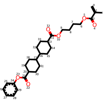 C=C(C)C(=O)OCCCCOC(=O)C1CCC(C2CCC(C(=O)Oc3ccccc3)CC2)CC1